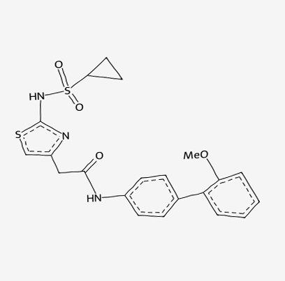 COc1ccccc1-c1ccc(NC(=O)Cc2csc(NS(=O)(=O)C3CC3)n2)cc1